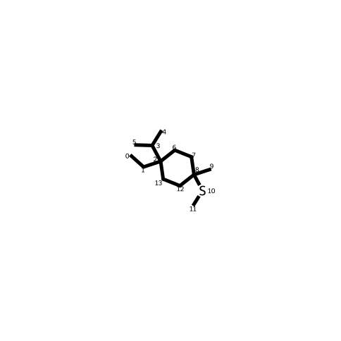 CCC1(C(C)C)CCC(C)(SC)CC1